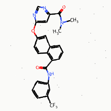 CN(C)C(=O)c1cc(Oc2ccc3c(C(=O)Nc4cccc(C(F)(F)F)c4)cccc3c2)ncn1